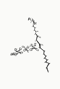 CCCCCCCCCCCCCCCCCCNN.O=S(=O)([O-])[O-].O=S(=O)([O-])[O-].O=S(=O)([O-])[O-].[Al+3].[Al+3]